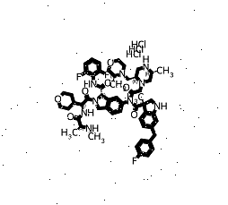 CN[C@@H](C)C(=O)N[C@H](C(=O)N1Cc2ccc(N(C(=O)CN3C[C@@H](C)NC[C@@H]3CN3CCOC[C@H]3C)C(=O)[C@@]3(C)CNc4cc(Cc5ccc(F)cc5)ccc43)cc2[C@H]1C(=O)Nc1c(F)cccc1F)C1CCOCC1.Cl.Cl.Cl